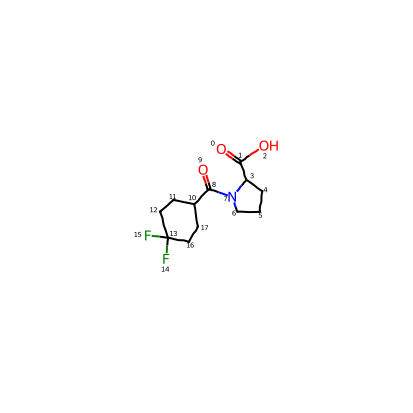 O=C(O)C1CCCN1C(=O)C1CCC(F)(F)CC1